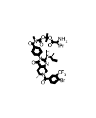 C=C[C@H](C)Nc1nc2c(c(=O)n1-c1ccc(C(=O)N(C)C(=O)OC(C)(C)OC(=O)[C@@H](N)C(C)C)cc1)C[C@@H](C)N(C(=O)c1ccc(Br)c(C(F)(F)F)c1)C2